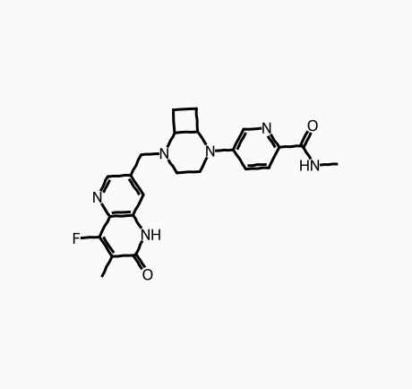 CNC(=O)c1ccc(N2CCN(Cc3cnc4c(F)c(C)c(=O)[nH]c4c3)C3CCC32)cn1